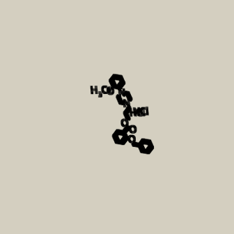 COc1ccccc1N1CCN(CCCOC(=O)c2ccccc2OCc2ccccc2)CC1.Cl.Cl